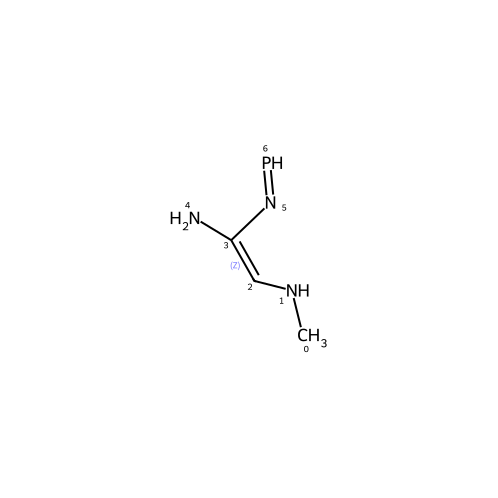 CN/C=C(/N)N=P